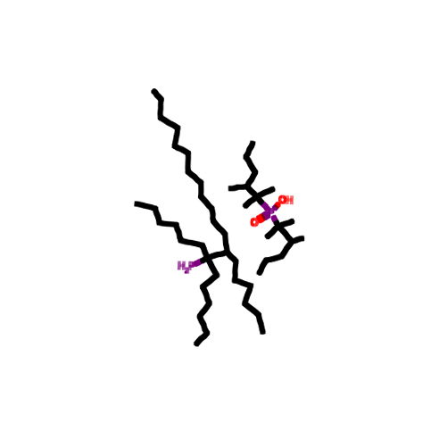 CCCC(C)C(C)(C)P(=O)(O)C(C)(C)C(C)CCC.CCCCCCCCCCCCC(CCCCCC)C(P)(CCCCCC)CCCCCC